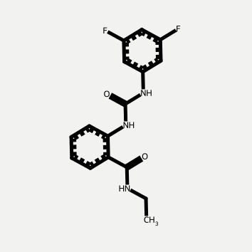 CCNC(=O)c1ccccc1NC(=O)Nc1cc(F)cc(F)c1